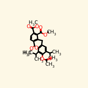 COC(=O)c1ccc(C(=O)OC)c(C(=O)OC)c1Cc1cc(C(C)C)c(OC(C)=O)c(C(C)C)c1